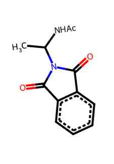 CC(=O)NC(C)N1C(=O)c2ccccc2C1=O